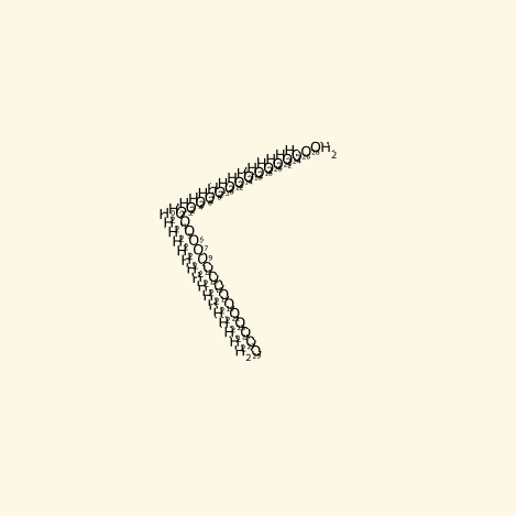 O.O.O.O.O.O.O.O.O.O.O.O.O.O.O.O.O.O.O.O.O.O.O.O.O.O.O.O.O.O